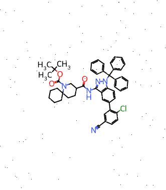 CC(C)(C)OC(=O)N1CC(C(=O)Nc2nn(C(c3ccccc3)(c3ccccc3)c3ccccc3)c3ccc(-c4cc(C#N)ccc4Cl)cc23)CCC12CCCCC2